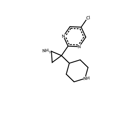 Clc1cnc(C2(C3CCNCC3)CC2)nc1.N